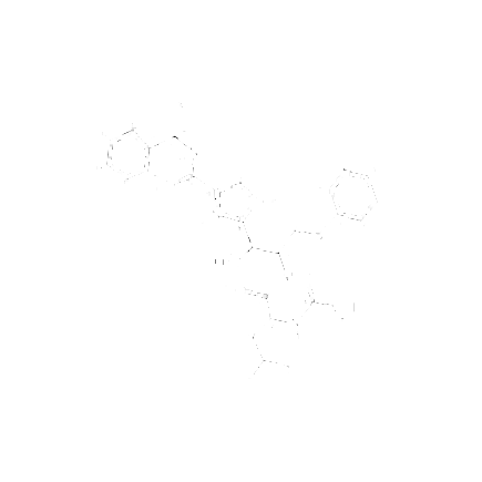 CC(C)CC(NC(=O)O)C(=O)NC(CCc1ccccc1)C(O)c1nc(C(=O)N[C@@H](C)c2ccccc2)co1